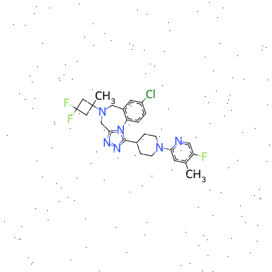 Cc1cc(N2CCC(c3nnc4n3-c3ccc(Cl)cc3CN(C3(C)CC(F)(F)C3)C4)CC2)ncc1F